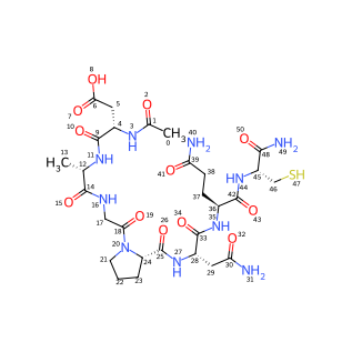 CC(=O)N[C@@H](CC(=O)O)C(=O)N[C@@H](C)C(=O)NCC(=O)N1CCC[C@H]1C(=O)N[C@@H](CC(N)=O)C(=O)N[C@@H](CCC(N)=O)C(=O)N[C@@H](CS)C(N)=O